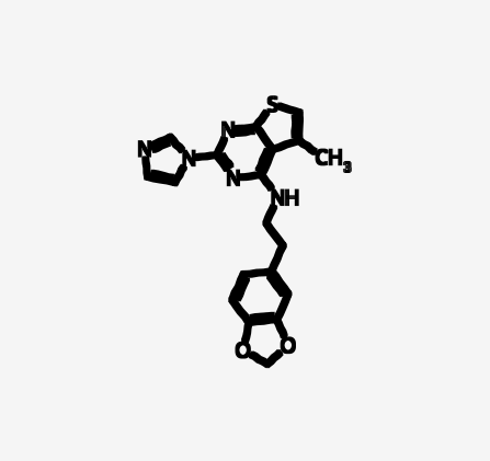 Cc1csc2nc(-n3ccnc3)nc(NCCc3ccc4c(c3)OCO4)c12